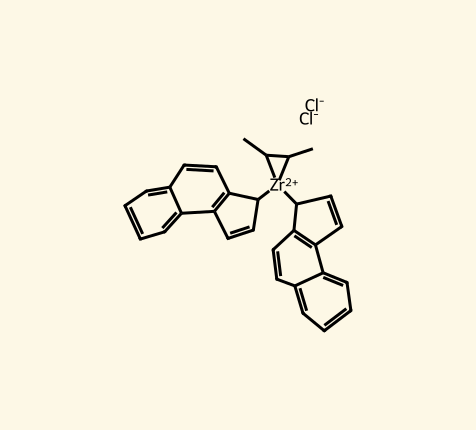 C[CH]1[CH](C)[Zr+2]1([CH]1C=Cc2c1ccc1ccccc21)[CH]1C=Cc2c1ccc1ccccc21.[Cl-].[Cl-]